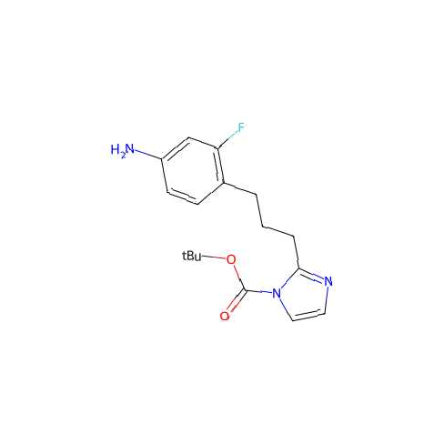 CC(C)(C)OC(=O)n1ccnc1CCCc1ccc(N)cc1F